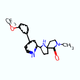 CN1CCC2(CCC(c3cc(-c4cccc(OC(F)(F)F)c4)ccn3)N2)C1=O